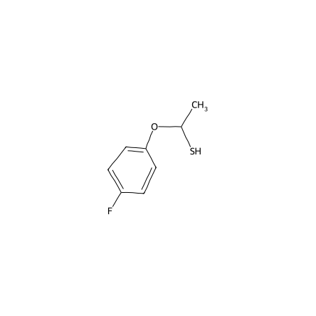 CC(S)Oc1ccc(F)cc1